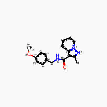 Cc1nn2ccccc2c1C(=O)NCc1ccc(OC(F)(F)F)cc1